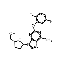 Nc1nc(Oc2cc(F)ccc2F)nc2c1ncn2[C@H]1CC[C@@H](CO)O1